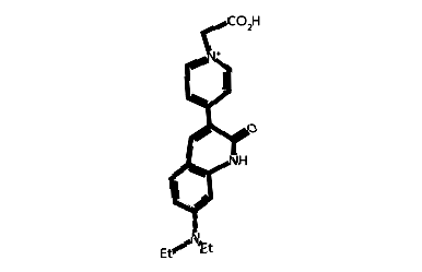 CCN(CC)c1ccc2cc(-c3cc[n+](CC(=O)O)cc3)c(=O)[nH]c2c1